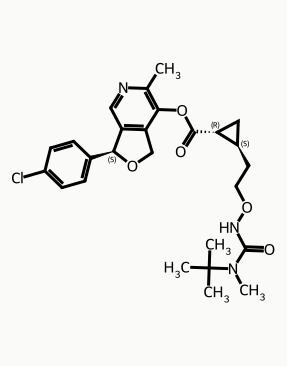 Cc1ncc2c(c1OC(=O)[C@@H]1C[C@H]1CCONC(=O)N(C)C(C)(C)C)CO[C@H]2c1ccc(Cl)cc1